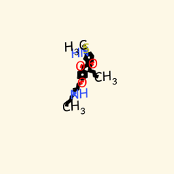 CCCCNCCCOc1ccc(C(=O)c2c(CCCC)oc3ccc(NSC)cc23)cc1